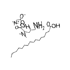 CCCCCCCCCCCCCCCC(=O)O.CN(C)C(CCCN)C(=O)O.C[N+](C)(C)CC(=O)[O-]